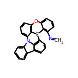 C=Nc1cccc2c1B1c3c(cccc3-n3c4ccccc4c4cccc1c43)O2